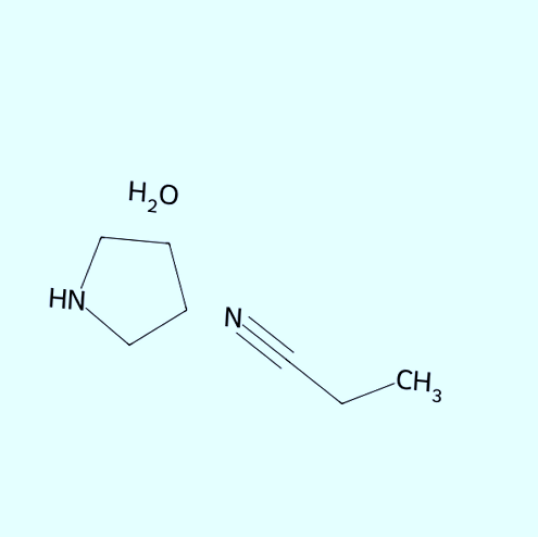 C1CCNC1.CCC#N.O